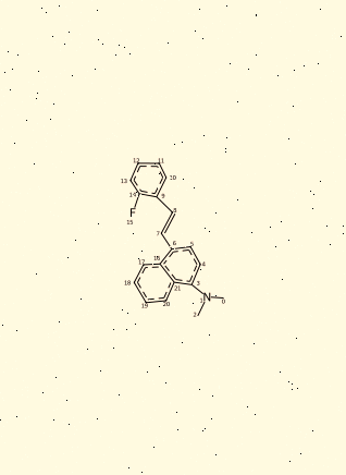 CN(C)c1ccc(C=Cc2ccccc2F)c2ccccc12